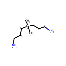 [CH3][Ge]([CH3])([CH2]CCN)[CH2]CCN